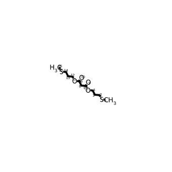 CSCCCOC(=O)CC(=O)OCCCSC